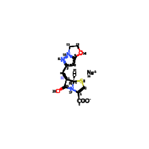 O=C([O-])C1=CS[C@@H]2/C(=C\c3cc4n(n3)CCO4)C(=O)N12.[Na+]